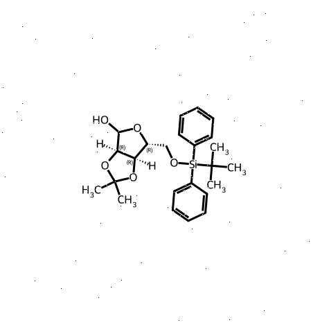 CC1(C)O[C@@H]2[C@@H](CO[Si](c3ccccc3)(c3ccccc3)C(C)(C)C)OC(O)[C@@H]2O1